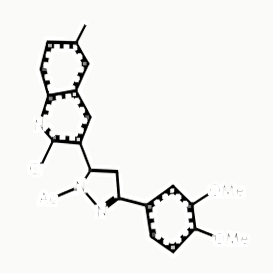 COc1ccc(C2=NN(C(C)=O)C(c3cc4cc(C)ccc4nc3Cl)C2)cc1OC